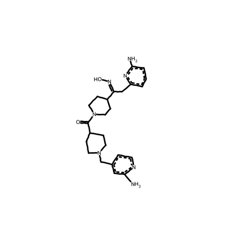 Nc1cc(CN2CCC(C(=O)N3CCC(/C(Cc4cccc(N)n4)=N\O)CC3)CC2)ccn1